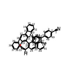 N#Cc1ccc(-c2nc(-n3c4ccccc4c4cc5c6c(c43)-c3c(ccc4ccccc34)[C@H](CC6)c3ccccc3-5)nc3cccnc23)cc1